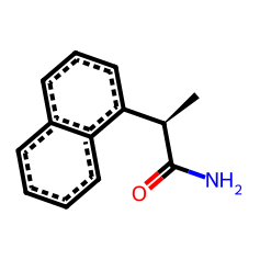 C[C@@H](C(N)=O)c1cccc2ccccc12